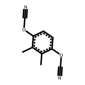 Cc1c(OC#N)ccc(OC#N)c1C